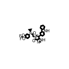 O=C(Cn1nc(-c2ccc3[nH]c4ccccc4c3c2)c2[nH]cnc2c1=O)N(c1ccc2c(c1)OC(F)(F)O2)C1CC1